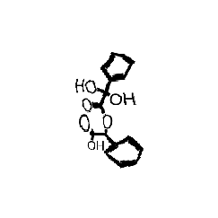 O=C(O)C(OC(=O)C(O)(O)c1ccccc1)c1ccccc1